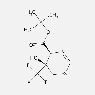 CC(C)(C)OC(=O)[C@H]1N=CSC[C@]1(O)C(F)(F)F